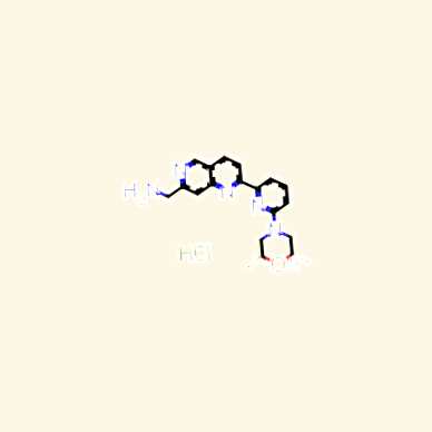 C[C@@H]1CN(c2cccc(-c3ccc4cnc(CN)cc4n3)n2)C[C@H](C)O1.Cl